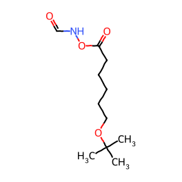 CC(C)(C)OCCCCCC(=O)ONC=O